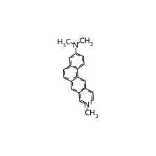 CN(C)c1ccc2c(ccc3cc4c[n+](C)ccc4cc32)c1